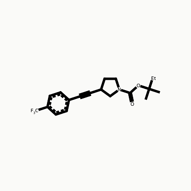 CCC(C)(C)OC(=O)N1CCC(C#Cc2ccc(C(F)(F)F)cc2)C1